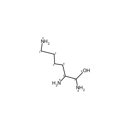 NCCCCC(N)C(N)O